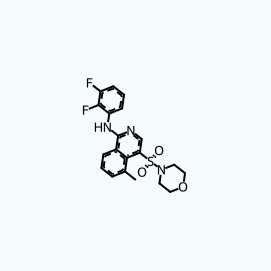 Cc1cccc2c(Nc3cccc(F)c3F)ncc(S(=O)(=O)N3CCOCC3)c12